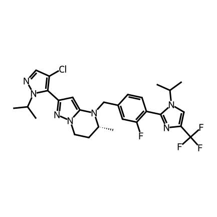 CC(C)n1cc(C(F)(F)F)nc1-c1ccc(CN2c3cc(-c4c(Cl)cnn4C(C)C)nn3CC[C@H]2C)cc1F